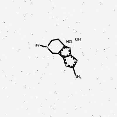 CC(C)N1CCc2sc3nc(N)sc3c2C1.Cl.Cl